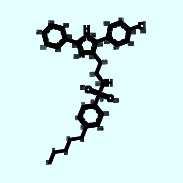 CCCCCc1ccc(S(=O)(=O)NCCc2nc(-c3ccccc3)[nH]c2-c2ccc(Cl)cc2)cc1